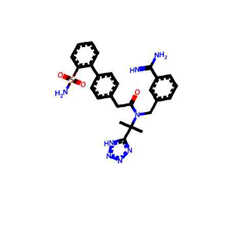 CC(C)(c1nnn[nH]1)N(Cc1cccc(C(=N)N)c1)C(=O)Cc1ccc(-c2ccccc2S(N)(=O)=O)cc1